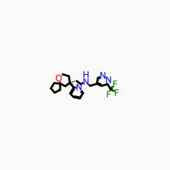 FC(F)(F)c1cc(CNCC[C@@]2(c3ccccn3)CCOC3(CCCC3)C2)cnn1